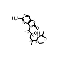 CC[C@H](OC(C)=O)[C@@H](C)C[C@@H](O)[C@@H](C)n1c(=O)sc2cnc(N)nc21